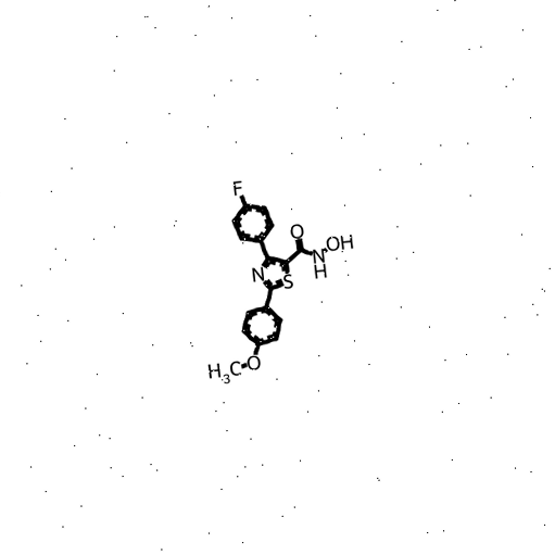 COc1ccc(-c2nc(-c3ccc(F)cc3)c(C(=O)NO)s2)cc1